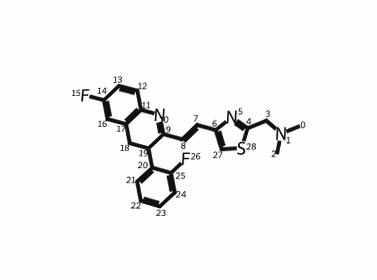 CN(C)Cc1nc(C=CC2=Nc3ccc(F)cc3CC2c2ccccc2F)cs1